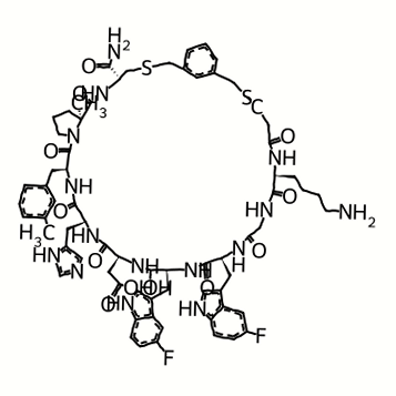 Cc1cccc(C[C@@H]2NC(=O)[C@H](Cc3cnc[nH]3)NC(=O)[C@H](CC(=O)O)NC(O)[C@H](Cc3c[nH]c4ccc(F)cc34)NC(=O)[C@H](Cc3c[nH]c4ccc(F)cc34)NC(=O)CNC(=O)[C@H](CCCCN)NC(=O)CCSCc3cccc(c3)CSC[C@@H](C(N)=O)NC(=O)[C@]3(C)CCCN3C2=O)c1